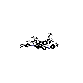 CCC(C)COc1cc2c(cc1OCC(C)CC)C1(c3cc(/C=C/c4ccc(Br)cc4)ccc3-c3ccc(/C=C/c4ccc(Br)cc4)cc31)c1cc(OC(C)CC)c(OCC(C)CC)cc1-2